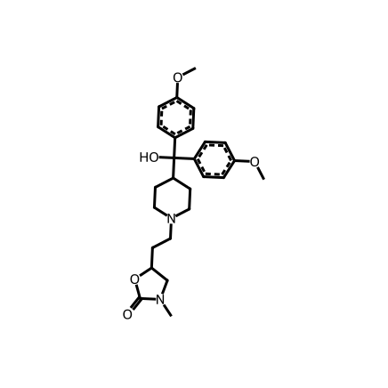 COc1ccc(C(O)(c2ccc(OC)cc2)C2CCN(CCC3CN(C)C(=O)O3)CC2)cc1